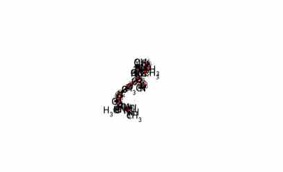 CNc1nc(Nc2ccc(C(=O)N3CCN(CCOCCOCCOc4cc(-c5scnc5C)ccc4CNC(=O)[C@@H]4C[C@@H](O)CN4C(=O)[C@@H](NC(=O)C4(F)CC4)C(C)(C)C)CC3)cc2OC)ncc1Cl